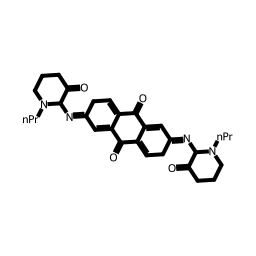 CCCN1CCCC(=O)C1N=C1C=C2C(=O)C3=CCC(=NC4C(=O)CCCN4CCC)C=C3C(=O)C2=CC1